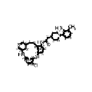 Cc1cccc(N2CCC(CC(=O)Nc3ccc4cc3CCC3C=NC=C(C3)Nc3ncc(Cl)c(n3)N4)CC2)c1N